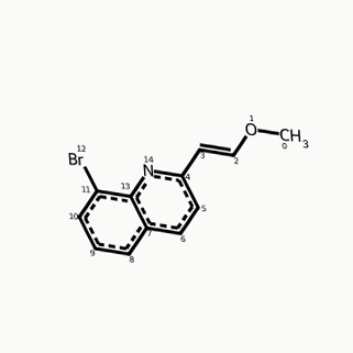 COC=Cc1ccc2cccc(Br)c2n1